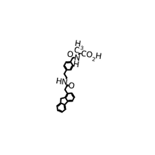 C[C@H](NC(=O)c1ccc(CCNC(=O)Cc2cccc3c2Cc2ccccc2-3)cc1)C(=O)O